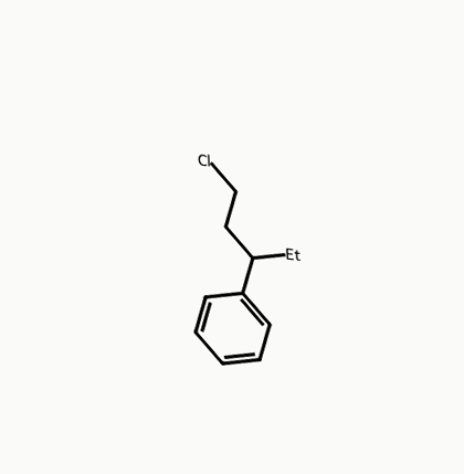 [CH2]CC(CCCl)c1ccccc1